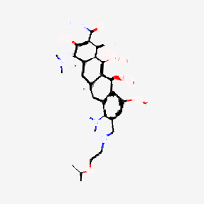 B=C1C(C(N)=O)=C(O)[C@@H](N(C)C)[C@@H]2C[C@@H]3Cc4c(c(OC)cc(CNCCOC(C)C)c4N(C)C)C(=O)C3=C(O)[C@]12O